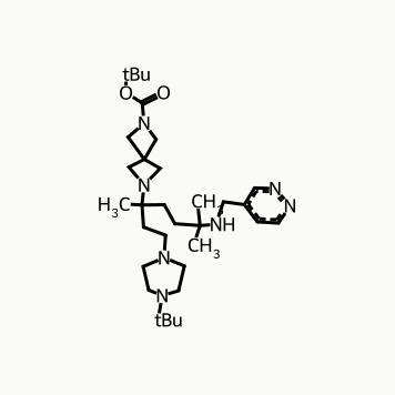 CC(C)(CCC(C)(CCN1CCN(C(C)(C)C)CC1)N1CC2(CN(C(=O)OC(C)(C)C)C2)C1)NCc1ccnnc1